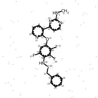 CNc1nccc(-c2cccnc2Oc2cc(F)c(NSCc3ccccc3)c(F)c2F)n1